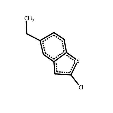 CCc1ccc2sc(Cl)cc2c1